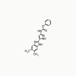 Cc1cc2nc(-c3cc(NC(=O)Oc4ccccc4)n[nH]3)[nH]c2cc1C